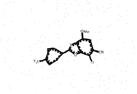 COc1cc(C#N)c(Cl)c2oc(-c3ccc(C(F)(F)F)cc3)nc12